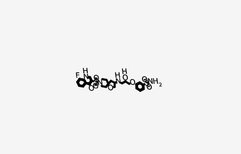 NS(=O)(=O)c1cccc(OCC(O)CNC2COC3(CCN(S(=O)(=O)c4c[nH]c5c(F)cccc5c4=O)CC3)C2)c1